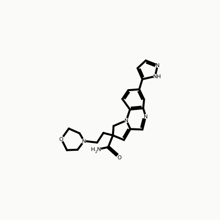 NC(=O)C1(CCN2CCOCC2)C=C2C=Nc3cc(-c4ccn[nH]4)ccc3N2C1